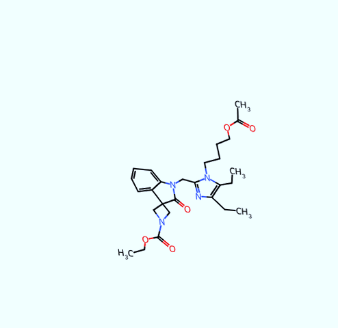 CCOC(=O)N1CC2(C1)C(=O)N(Cc1nc(CC)c(CC)n1CCCCOC(C)=O)c1ccccc12